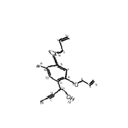 C=CCOc1cc(OCC=C)c([C](O)C#CC)cc1Br